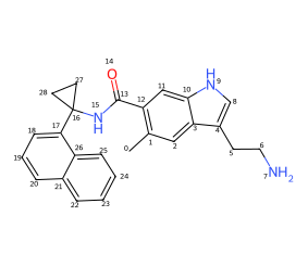 Cc1cc2c(CCN)c[nH]c2cc1C(=O)NC1(c2cccc3ccccc23)CC1